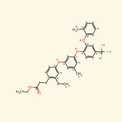 CCOC(=O)CCc1ccc(Oc2cc(C)cc(Oc3ccc(C(F)(F)F)cc3Oc3ccccc3C)c2)cc1CC